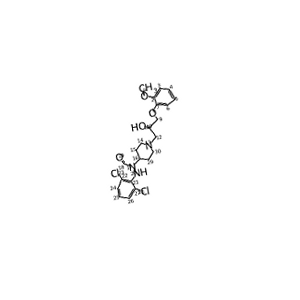 COc1ccccc1OCC(O)CN1CCC(N(C=O)Nc2c(Cl)cccc2Cl)CC1